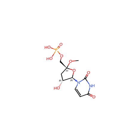 CO[C@@]1(COP(=O)(O)O)C[C@@H](O)[C@H](n2ccc(=O)[nH]c2=O)O1